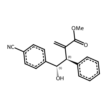 C=C(C(=O)OC)[C@@H](c1ccccc1)[C@H](O)c1ccc(C#N)cc1